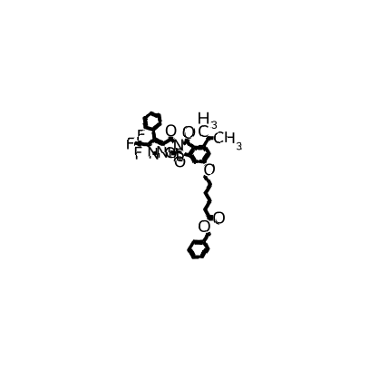 CC(C)c1cc(OCCCCCC(=O)OCc2ccccc2)cc2c1C(=O)N(C(=O)c1[nH]nc(C(F)(F)F)c1-c1ccccc1)S2(=O)=O